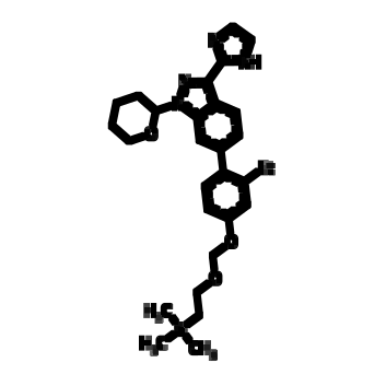 CCc1cc(OCOCC[Si](C)(C)C)ccc1-c1ccc2c(-c3ncc[nH]3)nn(C3CCCCO3)c2c1